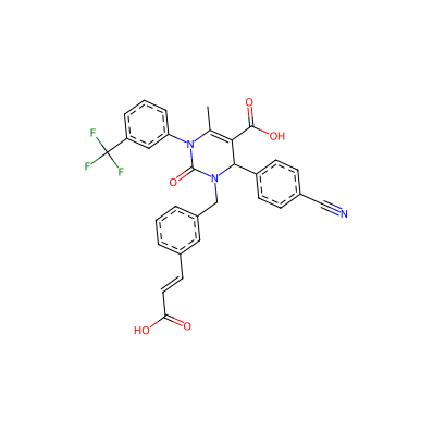 CC1=C(C(=O)O)C(c2ccc(C#N)cc2)N(Cc2cccc(/C=C/C(=O)O)c2)C(=O)N1c1cccc(C(F)(F)F)c1